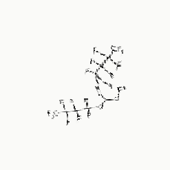 CCOC(OC(F)(F)C(F)(F)C(F)(F)C(F)(F)F)OC(F)(F)C(F)(F)C(F)(F)C(F)(F)F